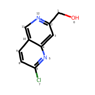 OCc1cc2nc(Cl)ccc2cn1